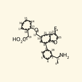 C[C@H](N)c1cccc(-c2cc(COc3ccccc3CC(=O)O)cc3c(F)coc23)c1